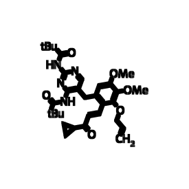 C=CCOc1c(C=CC(=O)C2CC2)c(Cc2cnc(NC(=O)C(C)(C)C)nc2NC(=O)C(C)(C)C)cc(OC)c1OC